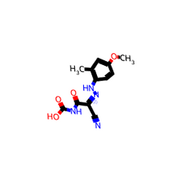 COc1ccc(N/N=C(/C#N)C(=O)NC(=O)O)c(C)c1